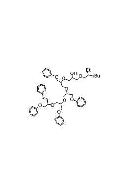 CCCCC(CC)COCC(O)COC(COc1ccccc1)COC(COc1ccccc1)COC(COc1ccccc1)COC(COc1ccccc1)CSc1ccccc1